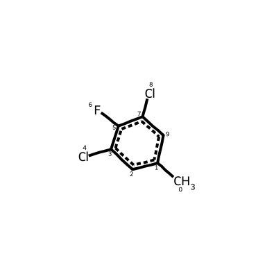 Cc1cc(Cl)c(F)c(Cl)c1